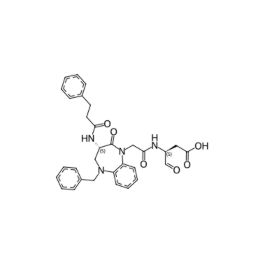 O=C[C@H](CC(=O)O)NC(=O)CN1C(=O)[C@@H](NC(=O)CCc2ccccc2)CN(Cc2ccccc2)c2ccccc21